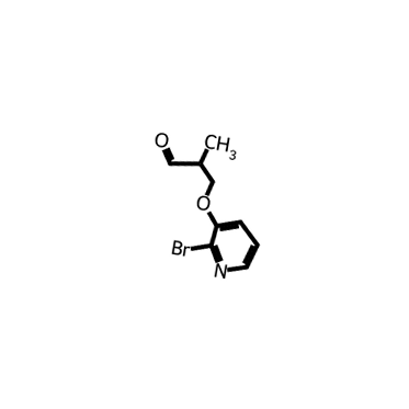 CC(C=O)COc1cccnc1Br